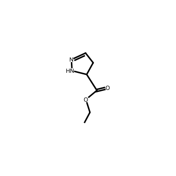 CCOC(=O)C1CC=NN1